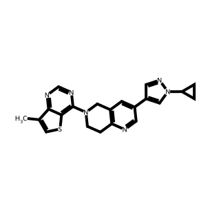 Cc1csc2c(N3CCc4ncc(-c5cnn(C6CC6)c5)cc4C3)ncnc12